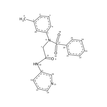 Cc1cccc(N(CC(=O)Nc2cccnc2)S(=O)(=O)c2ccccc2)c1